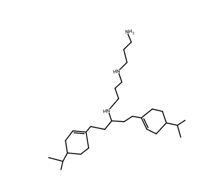 CC(C)C1CC=C(CCC(CCC2=CCC(C(C)C)CC2)NCCCNCCCN)CC1